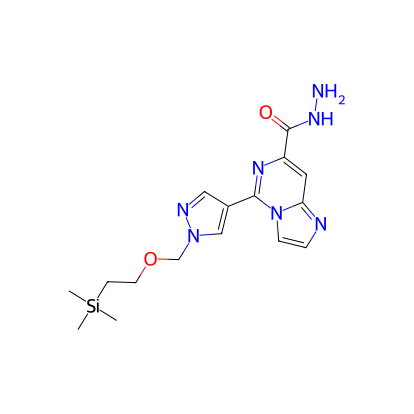 C[Si](C)(C)CCOCn1cc(-c2nc(C(=O)NN)cc3nccn23)cn1